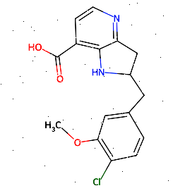 COc1cc(CC2Cc3nccc(C(=O)O)c3N2)ccc1Cl